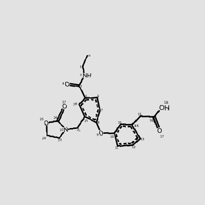 CCNC(=O)c1ccc(Oc2cccc(CC(=O)O)c2)c(CN2CCOC2=O)c1